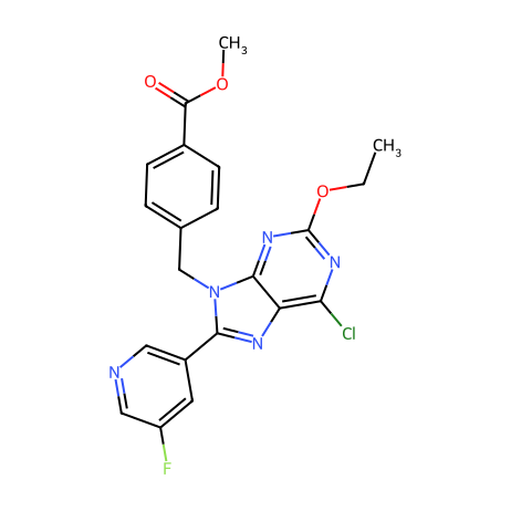 CCOc1nc(Cl)c2nc(-c3cncc(F)c3)n(Cc3ccc(C(=O)OC)cc3)c2n1